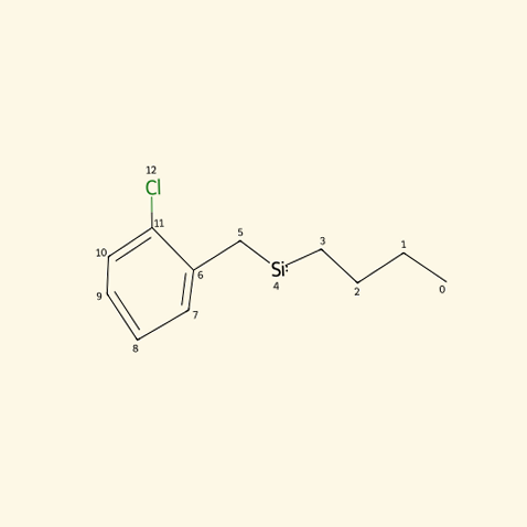 CCCC[Si]Cc1ccccc1Cl